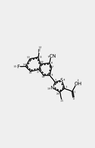 C=C(O)c1sc(-c2cc(C#N)c3c(F)cc(F)cc3c2)nc1C